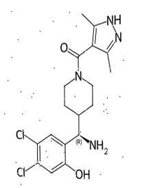 Cc1n[nH]c(C)c1C(=O)N1CCC([C@@H](N)c2cc(Cl)c(Cl)cc2O)CC1